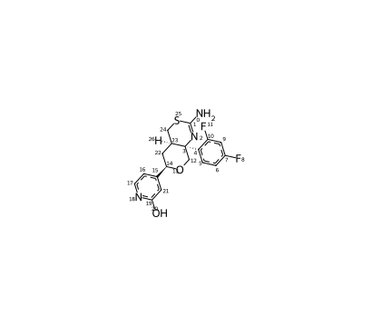 NC1=N[C@@]2(c3ccc(F)cc3F)CO[C@@H](c3ccnc(O)c3)C[C@H]2CS1